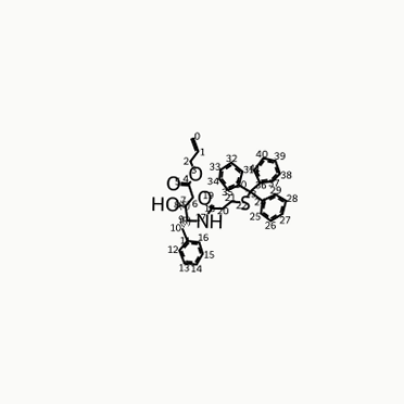 C=CCOC(=O)C[C@H](O)[C@@H](Cc1ccccc1)NC(=O)CCSC(c1ccccc1)(c1ccccc1)c1ccccc1